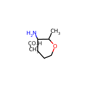 CC(=O)O.CC1OCCCC1N